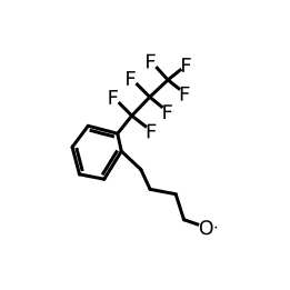 [O]CCCCc1ccccc1C(F)(F)C(F)(F)C(F)(F)F